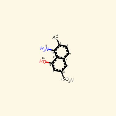 CC(=O)c1ccc2cc(S(=O)(=O)O)cc(O)c2c1N